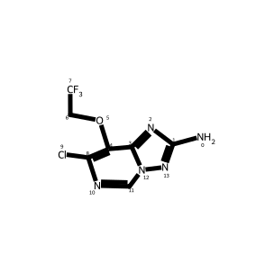 Nc1nc2c(OCC(F)(F)F)c(Cl)ncn2n1